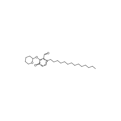 CCCCCCCCCCCCCCn1ccc(=O)c(OC2CCCCO2)c1C=O